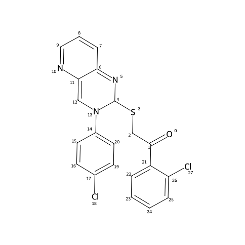 O=C(CSC1N=c2cccnc2=CN1c1ccc(Cl)cc1)c1ccccc1Cl